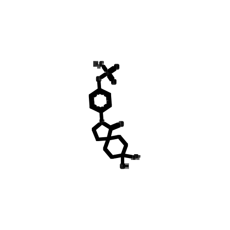 CCCC1(O)CCC2(CCN(c3ccc(OS(C)(=O)=O)cc3)C2=O)CC1